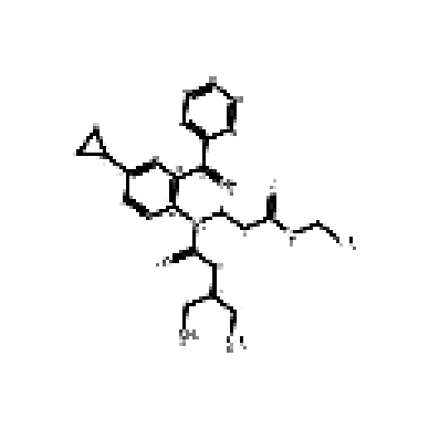 CCOC(=O)CCN(C(=O)CC(CC)CC)c1ccc(C2CC2)cc1C(=N)c1ccccc1